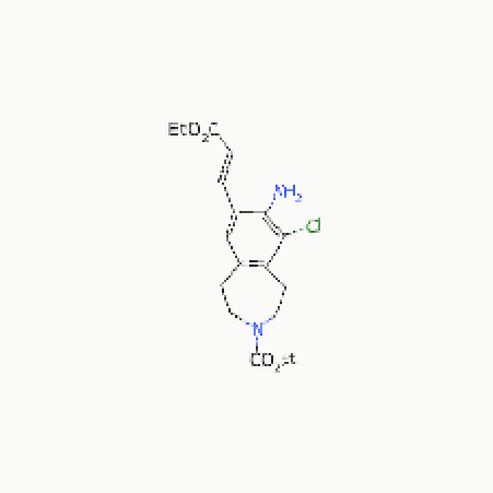 CCOC(=O)/C=C/c1cc2c(c(Cl)c1N)CCN(C(=O)OCC)CC2